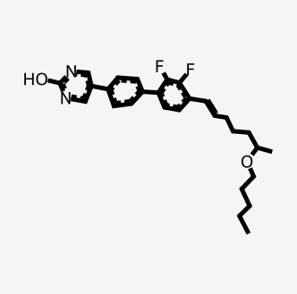 CCCCCOC(C)CCC/C=C/c1ccc(-c2ccc(-c3cnc(O)nc3)cc2)c(F)c1F